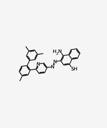 Cc1cc(C)cc(-c2ccc(C)cc2-c2ccc(/N=N/c3cc(S)c4ccccc4c3N)cn2)c1